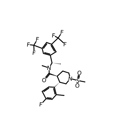 Cc1cc(F)ccc1[C@H]1CN(S(C)(=O)=O)CC[C@@H]1C(=O)N(C)[C@@H](C)c1cc(C(F)(F)F)cc(C(F)(F)F)c1